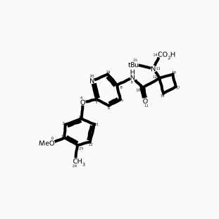 COc1cc(Oc2ccc(NC(=O)C3(N(C(=O)O)C(C)(C)C)CCC3)cn2)ccc1C